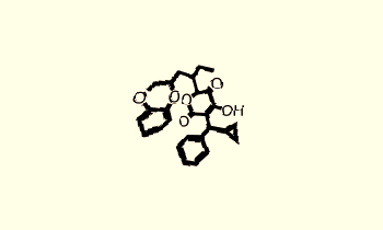 CCC(CC1COc2ccccc2O1)C1OC(=O)C(C(c2ccccc2)C2CC2)=C(O)C1=O